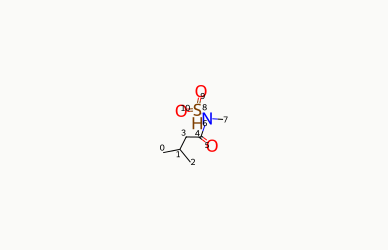 CC(C)CC(=O)N(C)[SH](=O)=O